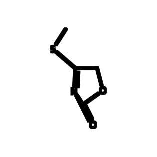 CSC1=NC(=O)OC1